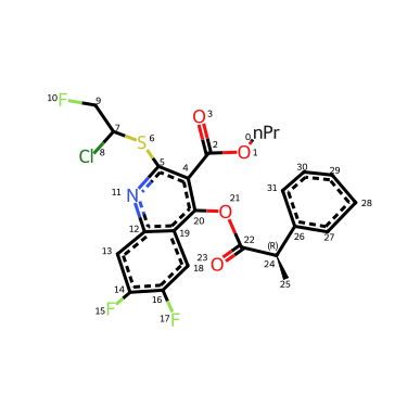 CCCOC(=O)c1c(SC(Cl)CF)nc2cc(F)c(F)cc2c1OC(=O)[C@H](C)c1ccccc1